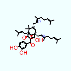 CC(C)=CCC/C(C)=C/C[C@@H]1C[C@@]2(C/C=C(\C)CCC=C(C)C)C(=O)[C@](CC=C(C)C)(C(=O)C(C(=O)c3ccc(O)c(O)c3)=C2O)C1(C)C